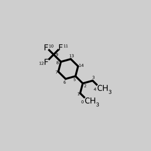 CCC(CC)C1CCC(C(F)(F)F)CC1